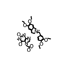 CCOc1ccc(C[N+]2=Cc3cc(OCC)c(OCC)cc3CC2)cc1OCC.Cn1c(=O)c2c(ncn2CC(=O)[O-])n(C)c1=O